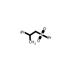 CC(C)C(C)CS(=O)(=O)C(C)C